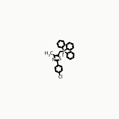 Cc1nc(-c2ccc(Cl)cc2)sc1CP(I)(c1ccccc1)(c1ccccc1)c1ccccc1